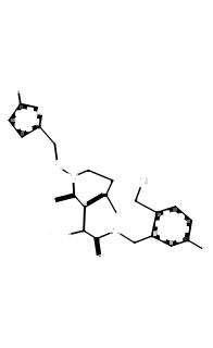 CC(=O)OC(C(=O)NCc1cc(C)ccc1CN)C1=C(C)CCN(NCc2ccc(Cl)s2)C1=O